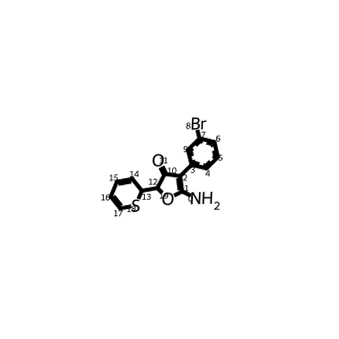 NC1=C(c2cccc(Br)c2)C(=O)C(C2C=CC=CS2)O1